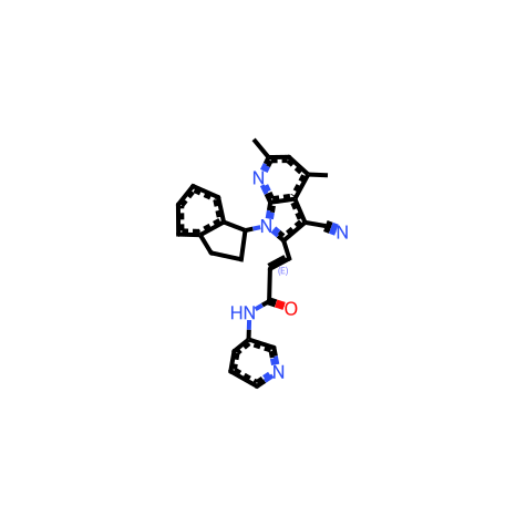 Cc1cc(C)c2c(C#N)c(/C=C/C(=O)Nc3cccnc3)n(C3CCc4ccccc43)c2n1